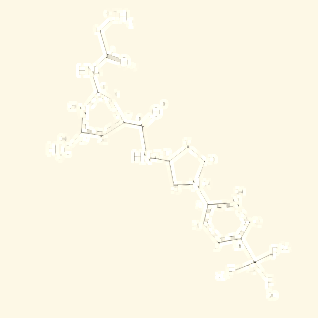 CCC(=O)Nc1cc(C(=O)NC2CCN(c3ccc(C(F)(F)F)cn3)C2)cc(C)n1